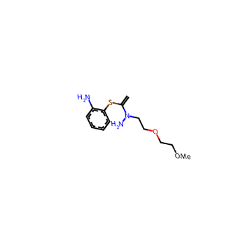 C=C(Sc1ccccc1N)N(N)CCOCCOC